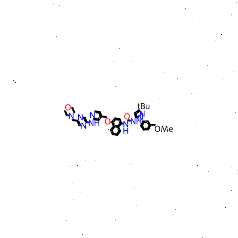 COCc1cccc(-n2nc(C(C)(C)C)cc2NC(=O)Nc2ccc(OCc3ccnc(Nc4cnc(CN5CCOCC5)cn4)c3)c3ccccc23)c1